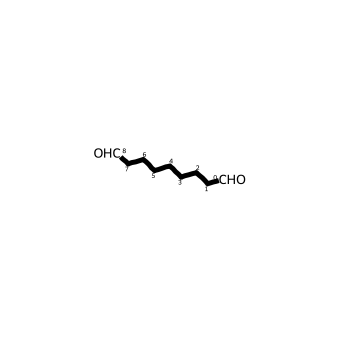 O=CCCCCCCCC=O